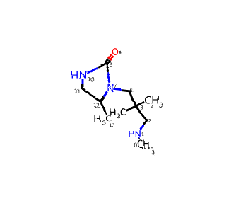 CNCC(C)(C)CN1C(=O)NCC1C